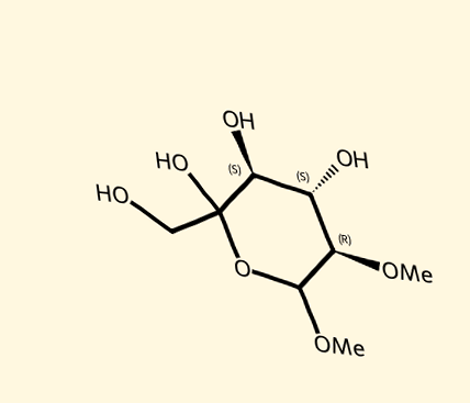 COC1OC(O)(CO)[C@@H](O)[C@H](O)[C@H]1OC